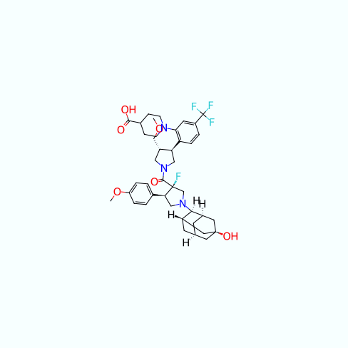 COC[C@H]1CN(C(=O)[C@]2(F)CN([C@H]3[C@@H]4C[C@@H]5C[C@H]3C[C@@](O)(C5)C4)C[C@H]2c2ccc(OC)cc2)C[C@@H]1c1ccc(C(F)(F)F)cc1N1CCC(C(=O)O)CC1